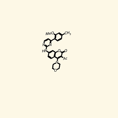 COc1cc(C)ccc1-c1ccnc(Nc2ccc3c(N4CCOCC4)c(C(C)=O)c(=O)oc3c2)n1